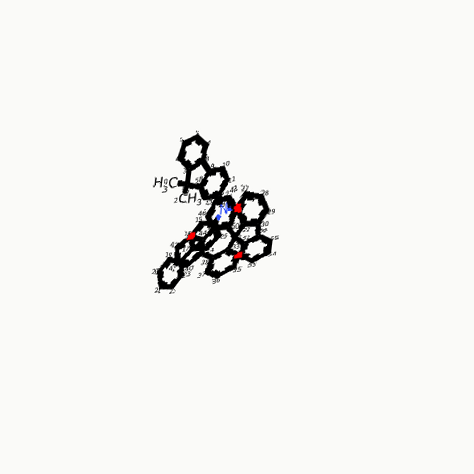 CC1(C)c2ccccc2-c2ccc(N(c3ccc(-c4ccccc4)cc3)c3cccc4c3C3(c5ccccc5-c5ccccc5-c5ccccc53)c3ccccc3-4)cc21